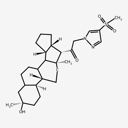 C[C@@]1(O)CC[C@H]2C(CCC3C4[C@@H]5CCC[C@@H]5[C@H](C(=O)Cn5cc(S(C)(=O)=O)cn5)[C@@]4(C)CC[C@@H]32)C1